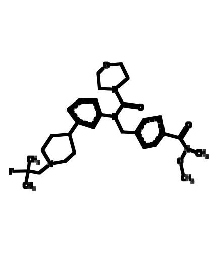 CON(C)C(=O)c1ccc(CN(C(=O)N2CCOCC2)c2cccc(C3CCN(CC(C)(C)F)CC3)c2)cc1